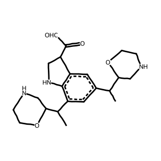 CC(c1cc2c(c(C(C)C3CNCCO3)c1)NCC2C(=O)C=O)C1CNCCO1